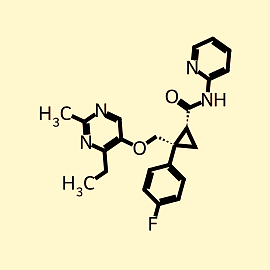 CCc1nc(C)ncc1OC[C@@]1(c2ccc(F)cc2)C[C@H]1C(=O)Nc1ccccn1